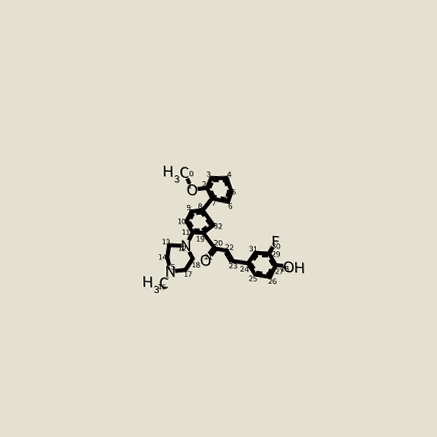 COc1ccccc1-c1ccc(N2CCN(C)CC2)c(C(=O)C=Cc2ccc(O)c(F)c2)c1